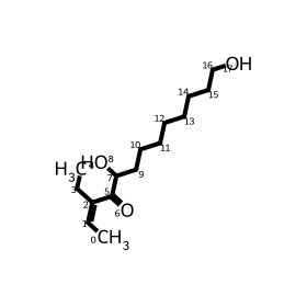 CC=C(CC)C(=O)C(O)CCCCCCCCO